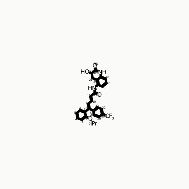 CC(C)Oc1ccccc1/C(=C/C=C/C(=O)Nc1cccc2c1CC(O)C(=O)N2)c1ccc(C(F)(F)F)cc1